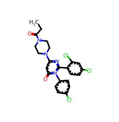 CCC(=O)N1CCN(c2cc(=O)n(-c3ccc(Cl)cc3)c(-c3ccc(Cl)cc3Cl)n2)CC1